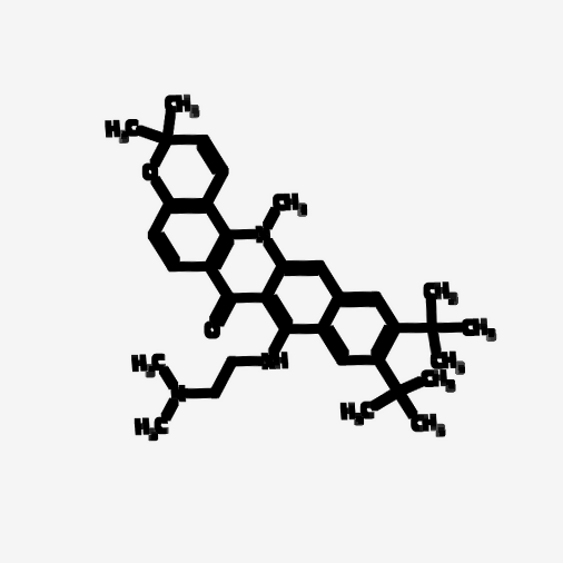 CN(C)CCNc1c2cc(C(C)(C)C)c(C(C)(C)C)cc2cc2c1c(=O)c1ccc3c(c1n2C)C=CC(C)(C)O3